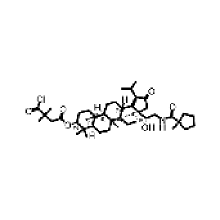 CC(C)C1=C2[C@H]3CC[C@@H]4[C@@]5(C)CC[C@H](OC(=O)CC(C)(C)C(=O)O)C(C)(C)[C@@H]5CC[C@@]4(C)[C@]3(C)CC[C@@]2([C@@H](O)CNC(=O)C2(C)CCCC2)CC1=O